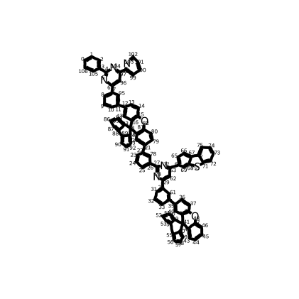 c1ccc(-c2nc(-c3cccc(-c4ccc5c(c4)C4(c6cc(-c7cccc(-c8nc(-c9cccc(-c%10ccc%11c(c%10)C%10(c%12ccccc%12O%11)c%11ccccc%11-c%11ccccc%11%10)c9)cc(-c9ccc%10c(c9)sc9ccccc9%10)n8)c7)ccc6O5)c5ccccc5-c5ccccc54)c3)cc(-c3ccccn3)n2)cc1